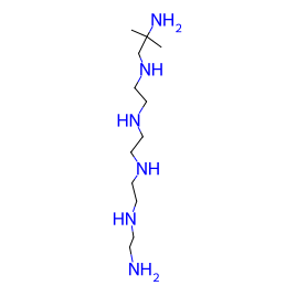 CC(C)(N)CNCCNCCNCCNCCN